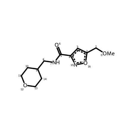 COCc1cc(C(=O)NCC2CCOCC2)no1